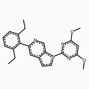 CCc1cccc(CC)c1-c1cc2ccn(-c3nc(OC)cc(OC)n3)c2cn1